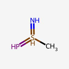 C[SH](=N)=P